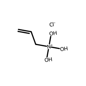 C=CC[N+](O)(O)O.[Cl-]